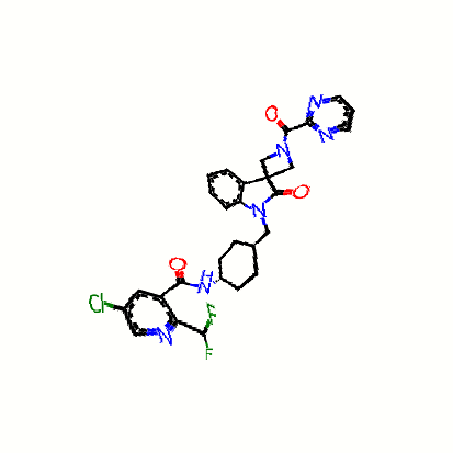 O=C(N[C@H]1CC[C@H](CN2C(=O)C3(CN(C(=O)c4ncccn4)C3)c3ccccc32)CC1)c1cc(Cl)cnc1C(F)F